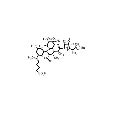 CC[C@@H](C)CN(C)[C@H](C)[C@@H](O)[C@](C)(O)[C@@H](CC)OC(=O)[C@H](C)[C@@H](C1C[C@@](C)(OC)[C@@H](O)[C@H](C)O1)[C@H](C)[C@H](CO)O[C@@H]1O[C@H](C)C[C@H](N(C)CCCCC(=O)O)[C@H]1O